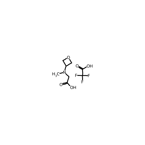 CN(CC(=O)O)C1COC1.O=C(O)C(F)(F)F